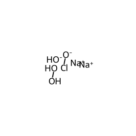 OO.[Na+].[Na+].[O-]Cl.[OH-]